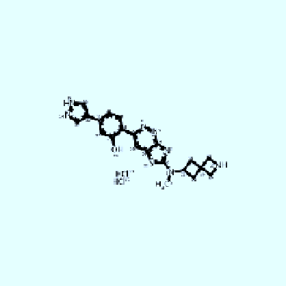 CN(c1nc2nnc(-c3ccc(-c4cn[nH]c4)cc3O)cc2s1)C1CC2(CNC2)C1.Cl.Cl